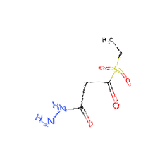 CCS(=O)(=O)C(=O)[CH]C(=O)NN